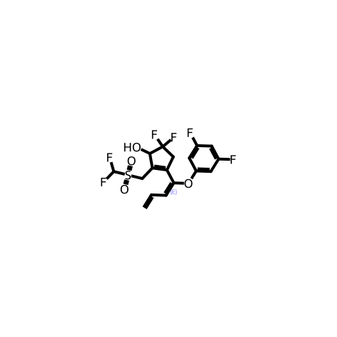 C=C/C=C(/Oc1cc(F)cc(F)c1)C1=C(CS(=O)(=O)C(F)F)C(O)C(F)(F)C1